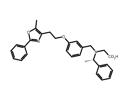 Cc1oc(-c2ccccc2)nc1CCOc1cccc(CN(CC(=O)O)[C@@H](C)c2ccccc2)c1